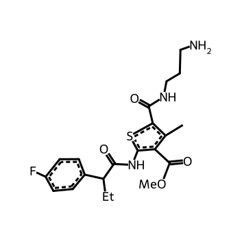 CCC(C(=O)Nc1sc(C(=O)NCCCN)c(C)c1C(=O)OC)c1ccc(F)cc1